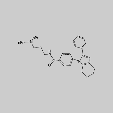 CCCN(CCC)CCCNC(=O)c1ccc(-n2c(-c3ccccc3)cc3c2CCCC3)cc1